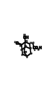 CC(=O)O.O=C1C2CC3CC(C2)CC1(O)C3